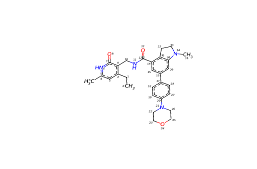 CCc1cc(C)[nH]c(=O)c1CNC(=O)c1cc(-c2ccc(N3CCOCC3)cc2)cc2c1CCN2C